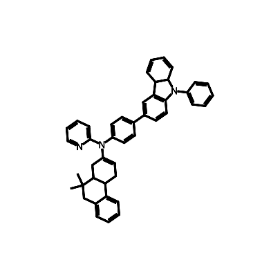 CC1(C)Cc2ccccc2C2CC=C(N(c3ccc(-c4ccc5c(c4)C4C=CC=CC4N5c4ccccc4)cc3)c3ccccn3)CC21